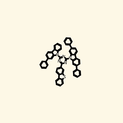 c1ccc(-c2ccc3c4ccccc4n(-c4nc(-c5ccc6c(c5)sc5ccccc56)nc(-n5c6cc(-c7ccccc7)ccc6c6ccc(-c7ccccc7)cc65)n4)c3c2)cc1